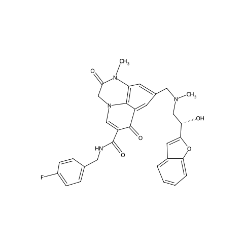 CN(Cc1cc2c3c(c1)c(=O)c(C(=O)NCc1ccc(F)cc1)cn3CC(=O)N2C)C[C@H](O)c1cc2ccccc2o1